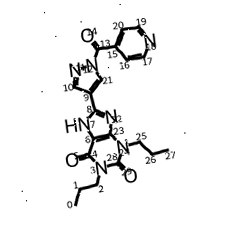 CCCn1c(=O)c2[nH]c(-c3cnn(C(=O)c4ccncc4)c3)nc2n(CCC)c1=O